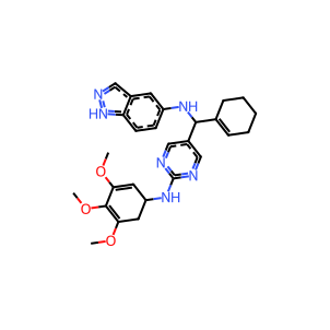 COC1=CC(Nc2ncc(C(Nc3ccc4[nH]ncc4c3)C3=CCCCC3)cn2)CC(OC)=C1OC